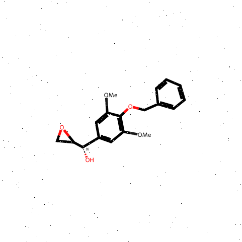 COc1cc([C@H](O)C2CO2)cc(OC)c1OCc1ccccc1